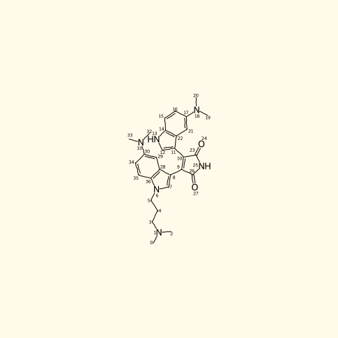 CN(C)CCCn1cc(C2=C(c3c[nH]c4ccc(N(C)C)cc34)C(=O)NC2=O)c2cc(N(C)C)ccc21